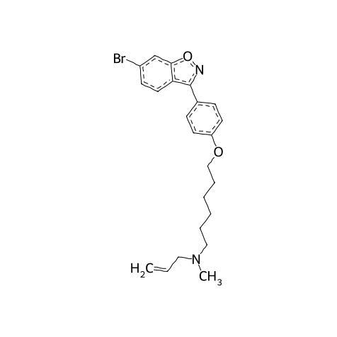 C=CCN(C)CCCCCCOc1ccc(-c2noc3cc(Br)ccc23)cc1